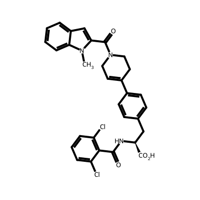 Cn1c(C(=O)N2CC=C(c3ccc(C[C@H](NC(=O)c4c(Cl)cccc4Cl)C(=O)O)cc3)CC2)cc2ccccc21